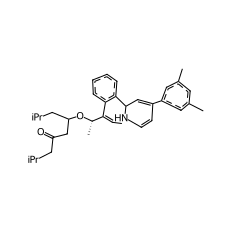 C/C=C(\c1ccccc1C1C=C(c2cc(C)cc(C)c2)C=CN1)[C@H](C)OC(CC(=O)CC(C)C)CC(C)C